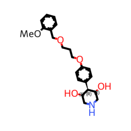 COc1ccccc1COCCCOc1ccc([C@@H]2[C@H](O)CNC[C@@H]2O)cc1